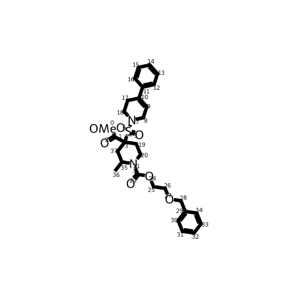 COC(=O)C1(S(=O)(=O)N2CC=C(c3ccccc3)CC2)CCN(C(=O)OCCOCc2ccccc2)C(C)C1